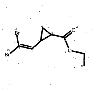 CCOC(=O)C1CC1C=C(Br)Br